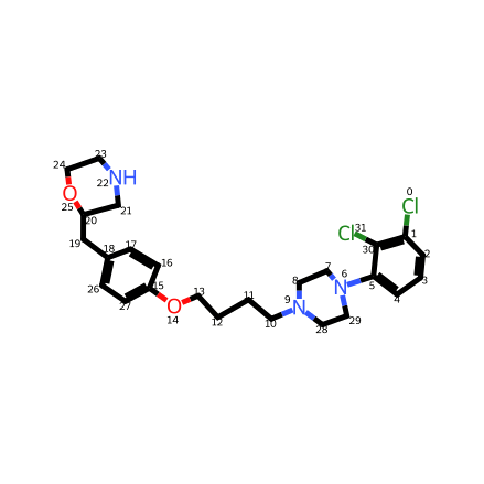 Clc1cccc(N2CCN(CCCCOc3ccc(CC4CNCCO4)cc3)CC2)c1Cl